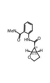 CNC(=O)c1ccccc1NC(=O)[C@H]1[C@@H]2CCO[C@@H]21